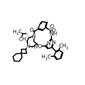 Cc1cccc(C)c1-c1cc2nc(n1)NS(=O)(=O)c1cccc(c1)C(=O)N1C[C@@H](CN(C3CC4(CCCCC4)C3)C[C@@H]1CC(C)C)O2